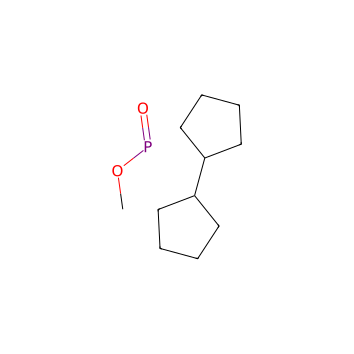 C1CCC(C2CCCC2)C1.COP=O